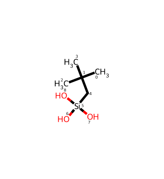 CC(C)(C)C[Si](O)(O)O